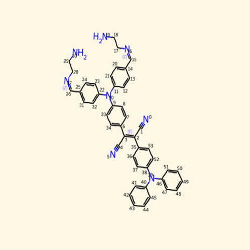 N#C/C(=C(/C#N)c1ccc(N(c2ccc(/C=N\CCN)cc2)c2ccc(/C=N\CCN)cc2)cc1)c1ccc(N(c2ccccc2)c2ccccc2)cc1